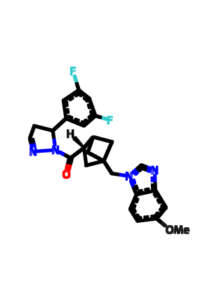 COc1ccc2c(c1)ncn2CC12CC(C1)[C@@H](C(=O)N1N=CCC1c1cc(F)cc(F)c1)C2